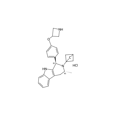 C[C@@H]1Cc2c([nH]c3ccccc23)[C@@H](c2ccc(OC3CNC3)cc2)N1C12CC(C1)C2.Cl